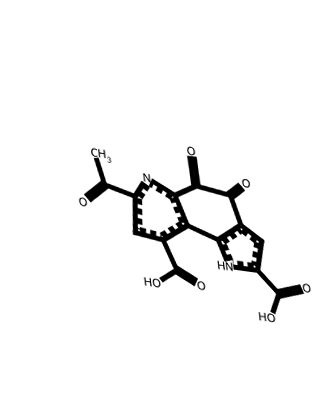 CC(=O)c1cc(C(=O)O)c2c(n1)C(=O)C(=O)c1cc(C(=O)O)[nH]c1-2